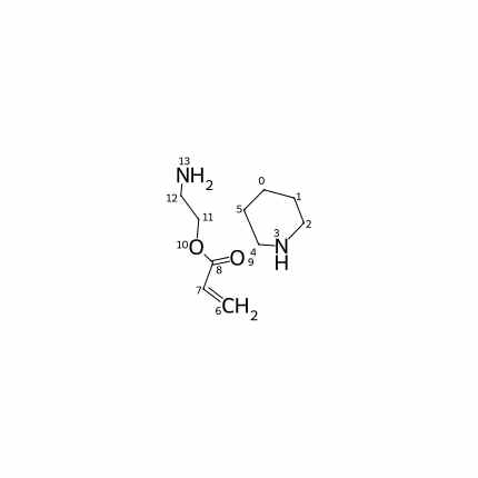 C1CCNCC1.C=CC(=O)OCCN